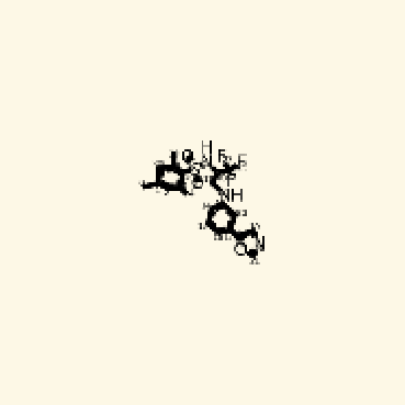 Cc1cc(C)c(S(=O)(=O)NC(CNc2cccc(-c3cnco3)c2)C(F)(F)F)c(C)c1